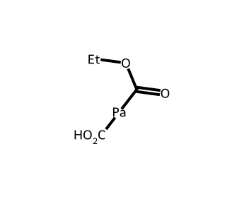 CCO[C](=O)[Pa][C](=O)O